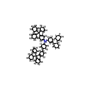 c1ccc(-c2ccccc2-c2cccc(N(c3ccc(-c4ccc5c(c4)C(c4ccccc4)(c4ccccc4)c4ccccc4-5)cc3)c3ccc4c(c3)-c3ccccc3C4(c3ccccc3)c3ccccc3)c2)cc1